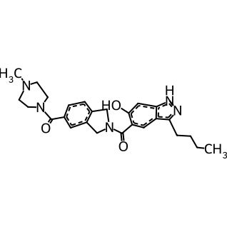 CCCCc1n[nH]c2cc(O)c(C(=O)N3Cc4ccc(C(=O)N5CCN(C)CC5)cc4C3)cc12